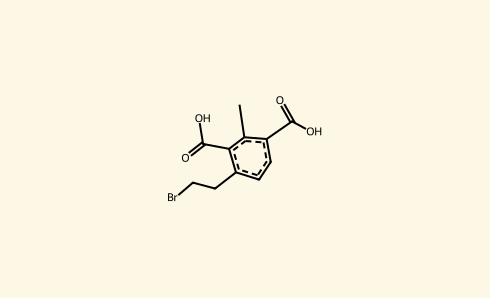 Cc1c(C(=O)O)ccc(CCBr)c1C(=O)O